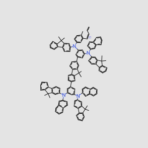 C=C/C=C\c1cc(N(c2cc(-c3ccc4c(c3)C(C)(C)c3cc(-c5cc(N(c6ccc7c(c6)C(C)(C)c6ccccc6-7)c6ccc7ccccc7c6)cc(N(c6ccc7c(c6)C(C)(C)c6ccccc6-7)c6ccc7ccccc7c6)c5)ccc3-4)cc(N(c3ccc4c(c3)C(C)(C)c3ccccc3-4)c3ccc4ccccc4c3)c2)c2ccc3c(c2)C(C)(C)c2ccccc2-3)ccc1C